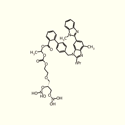 CCCc1nc2c(C)cc(-c3nc4ccccc4n3C)cc2n1Cc1ccc(-c2ccccc2C(=O)OC(C)OC(=O)OCCOC[C@H](CON(O)O)ON(O)O)cc1